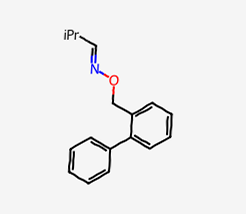 CC(C)C=NOCc1ccccc1-c1ccccc1